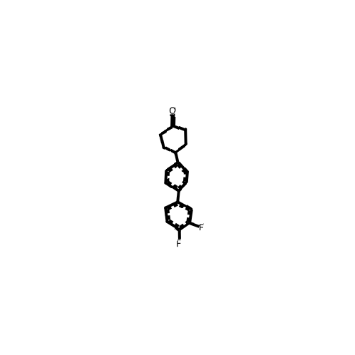 O=C1CCC(c2ccc(-c3ccc(F)c(F)c3)cc2)CC1